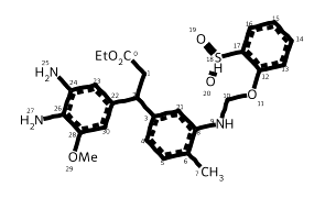 CCOC(=O)CC(c1ccc(C)c(NCOc2ccccc2[SH](=O)=O)c1)c1cc(N)c(N)c(OC)c1